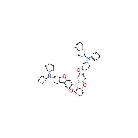 c1ccc(N(c2ccccc2)c2ccc3c(c2)oc2cc4c(cc23)Oc2cccc3c2B4c2cc4oc5cc(N(c6ccccc6)c6ccc7ccccc7c6)ccc5c4cc2O3)cc1